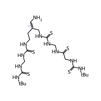 CC(C)(C)NC(=S)NCNC(=S)NCC/C(=C/N)CNC(=S)NCNC(=S)CNC(=S)NC(C)(C)C